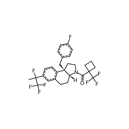 CC(F)(c1ccc2c(c1)CC[C@H]1N(C(=O)C3(C(F)(F)F)CCC3)CC[C@@]21Cc1ccc(F)cc1)C(F)(F)F